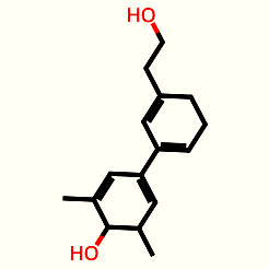 CC1=CC(C2=CCCC(CCO)=C2)=CC(C)C1O